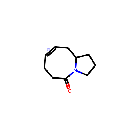 O=C1CC/C=C\CC2CCCN12